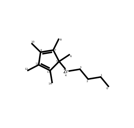 CCC[CH2][Zr][C]1(C)C(C)=C(C)C(C)=C1C